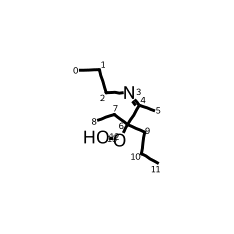 CCCN=C(C)C(CC)(CCC)OO